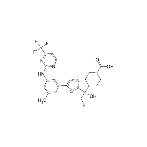 Cc1cc(Nc2nccc(C(F)(F)F)n2)cc(-c2cnc([C@](O)(CF)C3CCC(C(=O)O)CC3)s2)c1